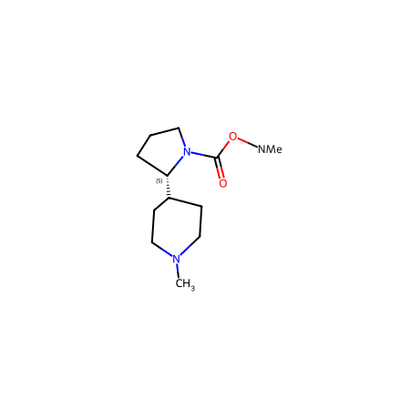 CNOC(=O)N1CCC[C@H]1C1CCN(C)CC1